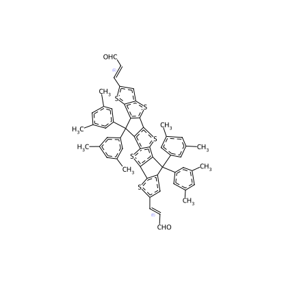 Cc1cc(C)cc(C2(c3cc(C)cc(C)c3)c3cc(/C=C/C=O)sc3-c3sc4c5c(sc4c32)-c2sc3cc(/C=C/C=O)sc3c2C5(c2cc(C)cc(C)c2)c2cc(C)cc(C)c2)c1